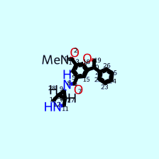 CNC(=O)c1cc(C(=O)NC2[C@H]3CNC[C@@H]23)cc2c1OCC2c1ccccc1